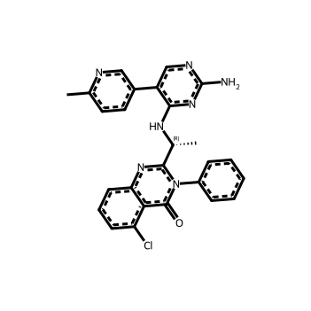 Cc1ccc(-c2cnc(N)nc2N[C@H](C)c2nc3cccc(Cl)c3c(=O)n2-c2ccccc2)cn1